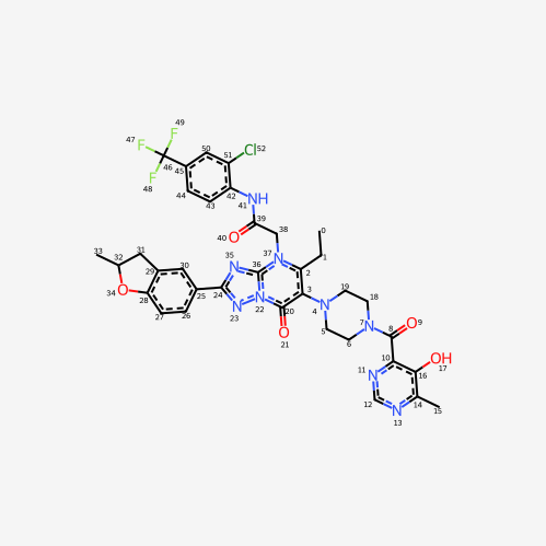 CCc1c(N2CCN(C(=O)c3ncnc(C)c3O)CC2)c(=O)n2nc(-c3ccc4c(c3)CC(C)O4)nc2n1CC(=O)Nc1ccc(C(F)(F)F)cc1Cl